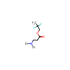 CCN(CC)CCC(=O)OCC(F)(F)C(F)(F)F